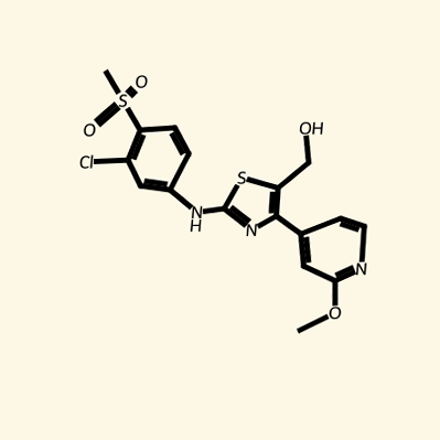 COc1cc(-c2nc(Nc3ccc(S(C)(=O)=O)c(Cl)c3)sc2CO)ccn1